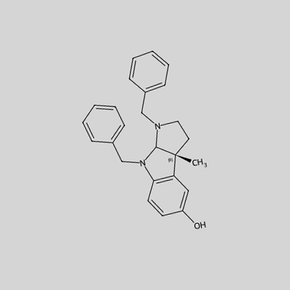 C[C@]12CCN(Cc3ccccc3)C1N(Cc1ccccc1)c1ccc(O)cc12